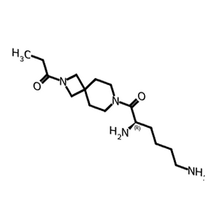 CCC(=O)N1CC2(CCN(C(=O)[C@H](N)CCCCN)CC2)C1